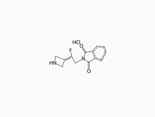 Cl.O=C1c2ccccc2C(=O)N1CC(F)=C1CNC1